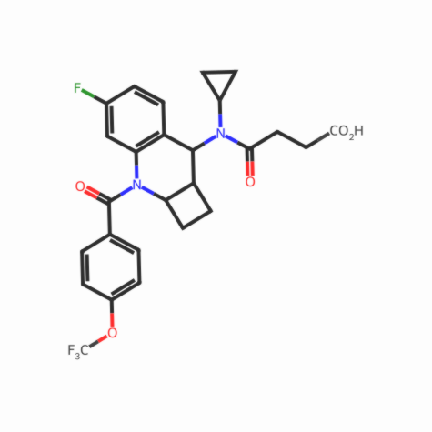 O=C(O)CCC(=O)N(C1CC1)C1c2ccc(F)cc2N(C(=O)c2ccc(OC(F)(F)F)cc2)C2CCC21